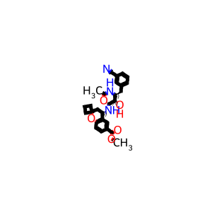 COC(=O)c1ccc2c(c1)[C@@H](NC[C@@H](O)[C@H](Cc1cccc(C#N)c1)NC(C)=O)CC1(CCC1)O2